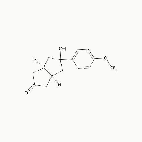 O=C1C[C@@H]2CC(O)(c3ccc(OC(F)(F)F)cc3)C[C@@H]2C1